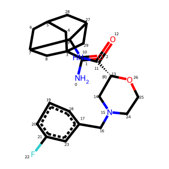 NC(=O)C12CC3CC(C1)C(NC(=O)[C@H]1CN(Cc4cccc(F)c4)CCO1)C(C3)C2